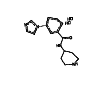 Cl.Cl.O=C(NC1CCNCC1)c1cccc(-n2ccnc2)c1